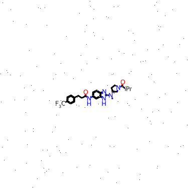 CC(C)C(=O)N1CC[C@@H](N(C)c2nc3ccc(NC(=O)CCc4ccc(C(F)(F)F)cc4)cc3[nH]2)C1